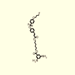 Nc1cc(N)cc(C(=O)OCCCCCCOC(=O)C=Cc2ccc(OC(F)(F)c3ccc(OCCCF)cc3)cc2)c1